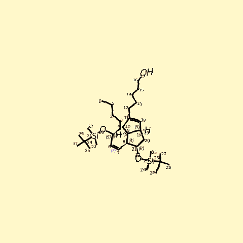 CCCCC[C@@H](/C=C\[C@H]1[C@H]2CC(CCCCCO)=C[C@H]2C[C@H]1O[Si](C)(C)C(C)(C)C)O[Si](C)(C)C(C)(C)C